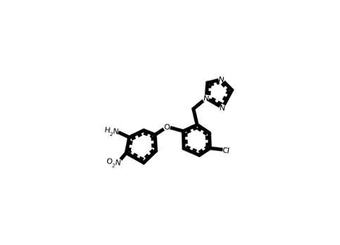 Nc1cc(Oc2ccc(Cl)cc2Cn2cncn2)ccc1[N+](=O)[O-]